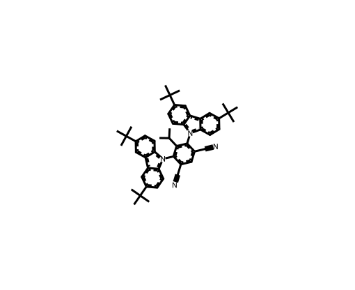 CC(C)c1c(-n2c3ccc(C(C)(C)C)cc3c3cc(C(C)(C)C)ccc32)c(C#N)cc(C#N)c1-n1c2ccc(C(C)(C)C)cc2c2cc(C(C)(C)C)ccc21